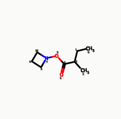 CCC(C)C(=O)ON1CCC1